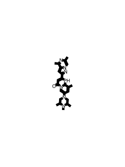 CC1=CC(N2CC(C)N(C)C(C)C2)=CN2C(=O)C=C(c3cc4c(C)nc(C)cn4n3)PC12